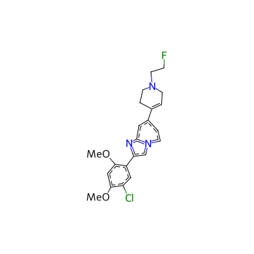 COc1cc(OC)c(-c2cn3ccc(C4=CCN(CCF)CC4)cc3n2)cc1Cl